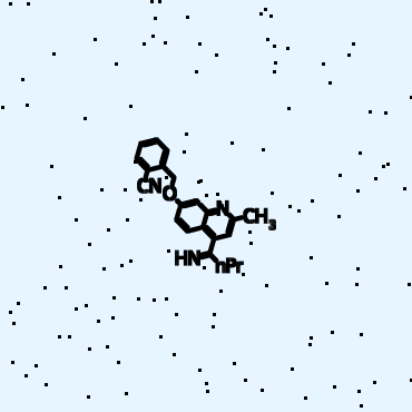 CCCC(=N)c1cc(C)nc2cc(OCc3ccccc3C#N)ccc12